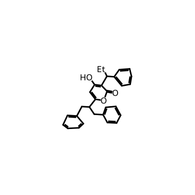 CCC(c1ccccc1)c1c(O)cc(C(Cc2ccccc2)Cc2ccccc2)oc1=O